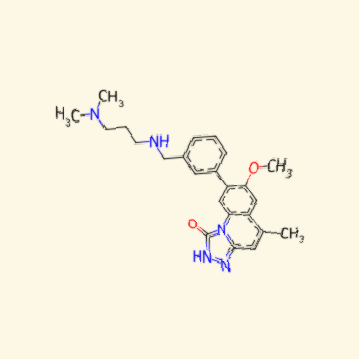 COc1cc2c(C)cc3n[nH]c(=O)n3c2cc1-c1cccc(CNCCCN(C)C)c1